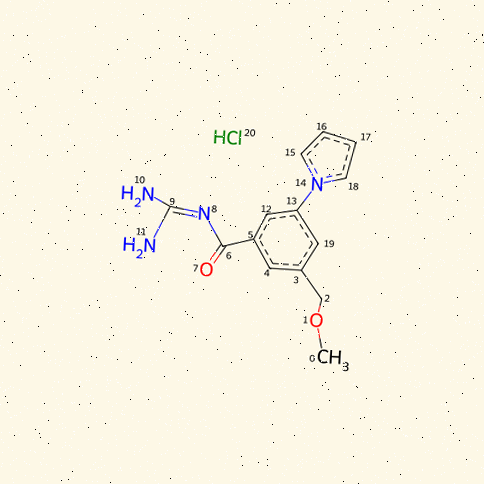 COCc1cc(C(=O)N=C(N)N)cc(-n2cccc2)c1.Cl